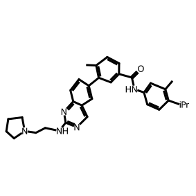 Cc1ccc(C(=O)Nc2ccc(C(C)C)c(C)c2)cc1-c1ccc2nc(NCCN3CCCC3)ncc2c1